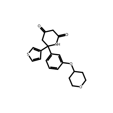 O=C1CC(=O)NC(c2ccsc2)(c2cccc(OC3CCOCC3)c2)C1